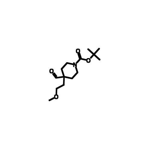 COCCC1(C=O)CCN(C(=O)OC(C)(C)C)CC1